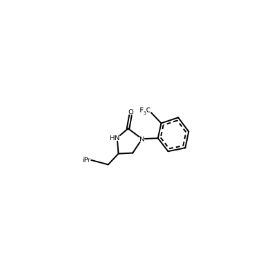 CC(C)CC1CN(c2ccccc2C(F)(F)F)C(=O)N1